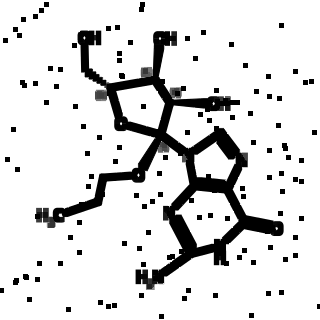 CCCO[C@@]1(n2cnc3c(=O)[nH]c(N)nc32)O[C@H](CO)[C@@H](O)[C@H]1O